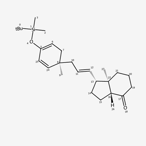 CC(C)(C)[Si](C)(C)OC1=CC[C@@](C)(C/C=C/[C@H]2CC[C@H]3C(=O)CCC[C@]23C)C=C1